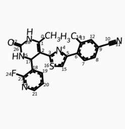 CC1=C(c2nc(-c3ccc(C#N)cc3C)cs2)C(c2cccnc2F)NC(=O)N1